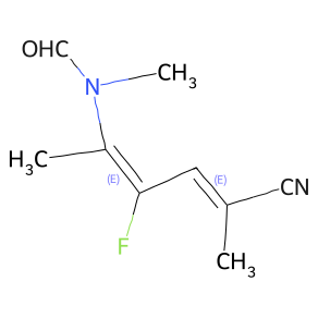 C/C(C#N)=C\C(F)=C(\C)N(C)C=O